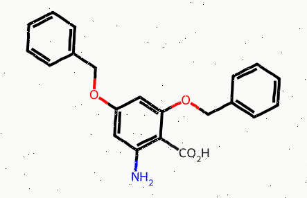 Nc1cc(OCc2ccccc2)cc(OCc2ccccc2)c1C(=O)O